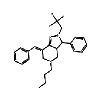 CCCCN1CC(=Cc2ccccc2)C2=NN(CC(F)(F)F)C(c3ccccc3)C2C1